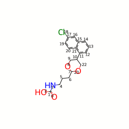 O=C(O)NCCCC1OCC(c2cccc3cc(Cl)ccc23)CO1